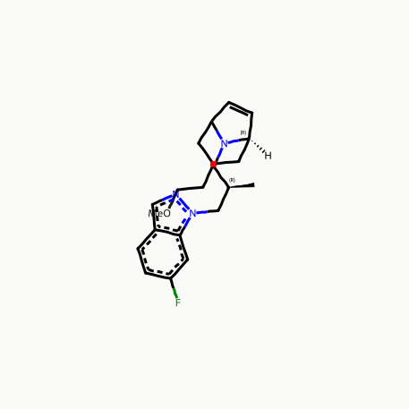 COCCC1CC2C=C[C@@H](C1)N2C[C@@H](C)Cn1ncc2ccc(F)cc21